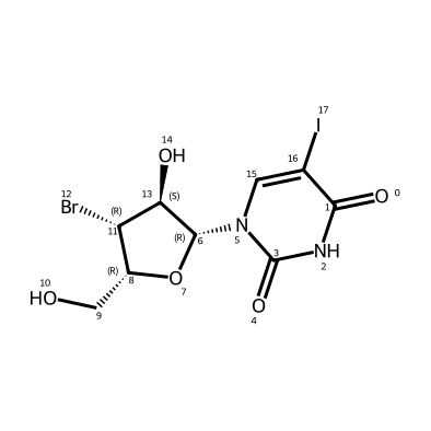 O=c1[nH]c(=O)n([C@@H]2O[C@H](CO)[C@H](Br)[C@H]2O)cc1I